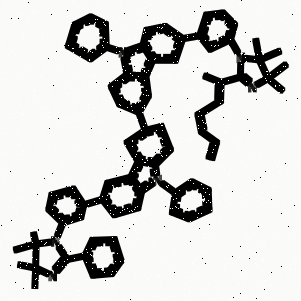 C=C/C=C\C=C(/C)C1=NC(C)(C)C(C)(C)N1c1cccc(-c2ccc3c(c2)c2cc(-c4ccc5c(c4)c4cc(-c6cccc(N7C(c8ccccc8)=NC(C)(C)C7(C)C)c6)ccc4n5-c4ccccc4)ccc2n3-c2ccccc2)c1